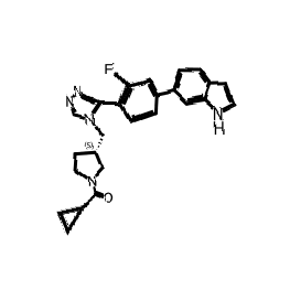 O=C(C1CC1)N1CC[C@H](Cn2cnnc2-c2ccc(-c3ccc4cc[nH]c4c3)cc2F)C1